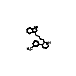 Cc1cccc(C2C=CCNC2CCCCc2c[nH]c3ccccc23)c1